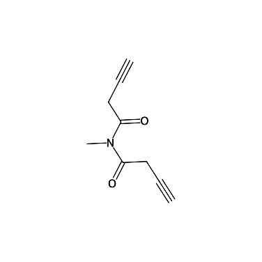 C#CCC(=O)N(C)C(=O)CC#C